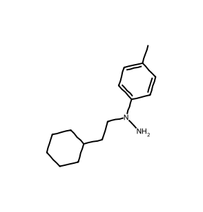 Cc1ccc(N(N)CCC2CCCCC2)cc1